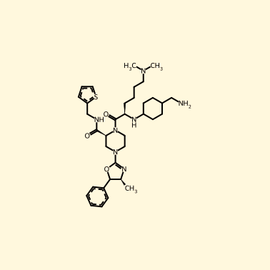 C[C@@H]1N=C(N2CCN(C(=O)[C@@H](CCCCN(C)C)NC3CCC(CN)CC3)[C@H](C(=O)NCc3cccs3)C2)OC1c1ccccc1